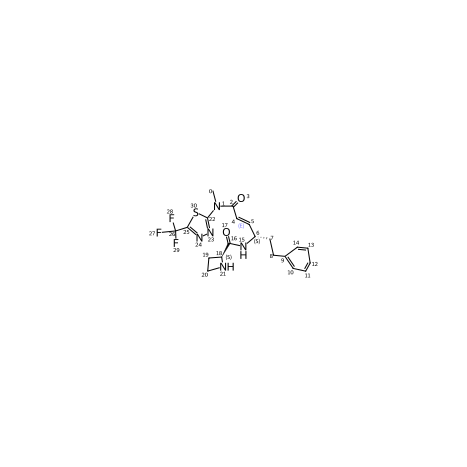 CN(C(=O)/C=C/[C@H](CCc1ccccc1)NC(=O)[C@@H]1CCN1)c1nnc(C(F)(F)F)s1